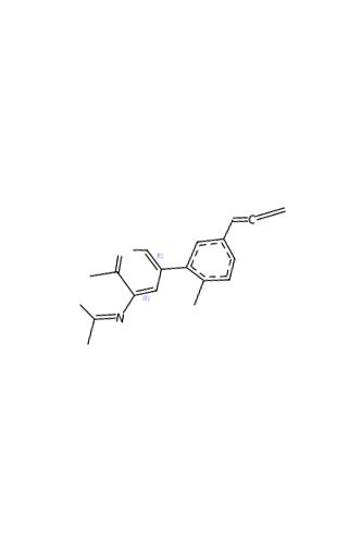 C=C=Cc1ccc(C)c(C(/C=C(/N=C(C)C)C(=C)C)=C/C)c1